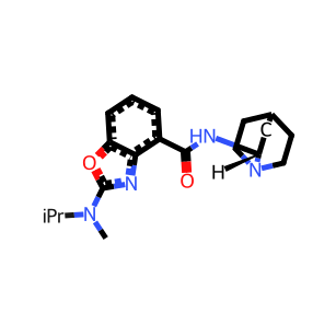 CC(C)N(C)c1nc2c(C(=O)N[C@@H]3CC4CCN3CC4)cccc2o1